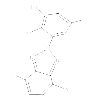 CC(C)(C)c1cc(-n2nc3c(Br)ccc(Br)c3n2)c(O)c(C(C)(C)C)c1